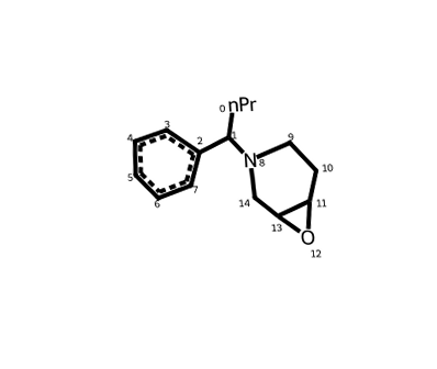 CCCC(c1ccccc1)N1CCC2OC2C1